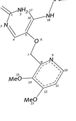 C=C(N)/N=C\C(OCc1nccc(OC)c1OC)=C(/C)NC(C)CCC